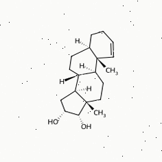 C[C@]12C=CCC[C@@H]1CC[C@@H]1[C@@H]2CC[C@]2(C)[C@H](O)[C@H](O)C[C@@H]12